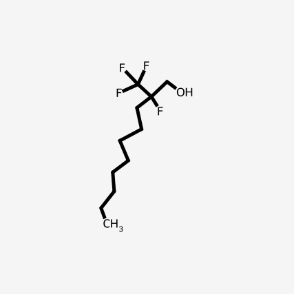 CCCCCCCCC(F)(CO)C(F)(F)F